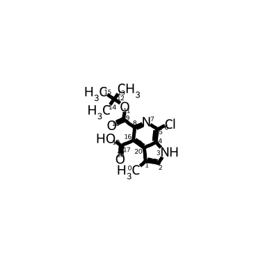 Cc1c[nH]c2c(Cl)nc(C(=O)OC(C)(C)C)c(C(=O)O)c12